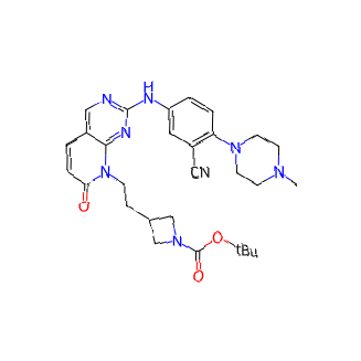 CN1CCN(c2ccc(Nc3ncc4ccc(=O)n(CCC5CN(C(=O)OC(C)(C)C)C5)c4n3)cc2C#N)CC1